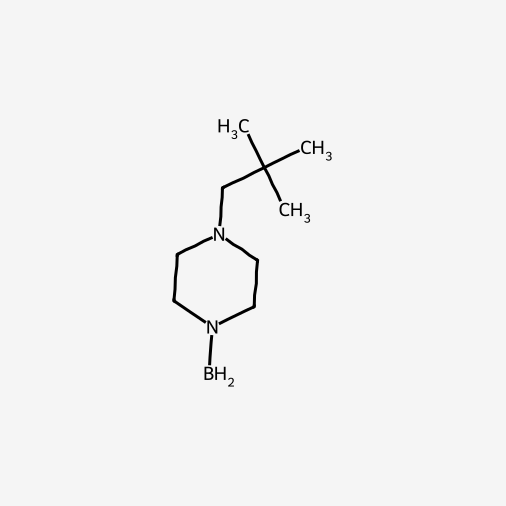 BN1CCN(CC(C)(C)C)CC1